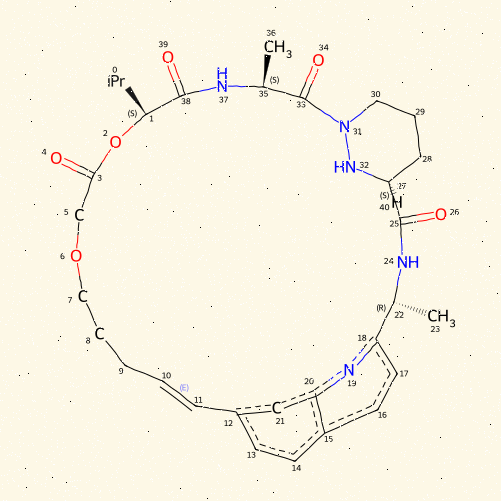 CC(C)[C@@H]1OC(=O)COCCC/C=C/c2ccc3ccc(nc3c2)[C@@H](C)NC(=O)[C@@H]2CCCN(N2)C(=O)[C@H](C)NC1=O